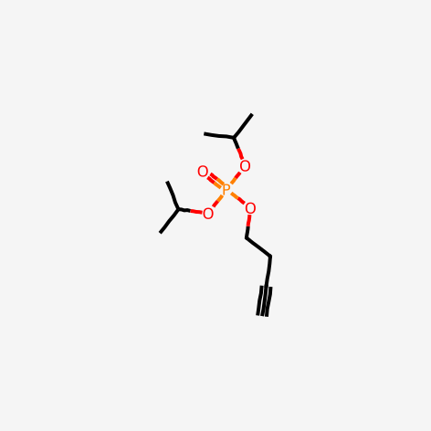 C#CCCOP(=O)(OC(C)C)OC(C)C